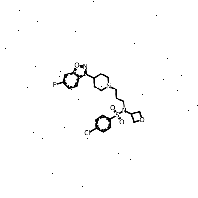 O=S(=O)(c1ccc(Cl)cc1)N(CCCN1CCC(c2noc3cc(F)ccc23)CC1)C1COC1